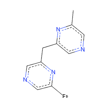 CCc1cncc(Cc2cncc(C)n2)n1